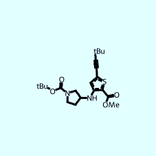 COC(=O)c1sc(C#CC(C)(C)C)cc1NC1CCN(C(=O)OC(C)(C)C)C1